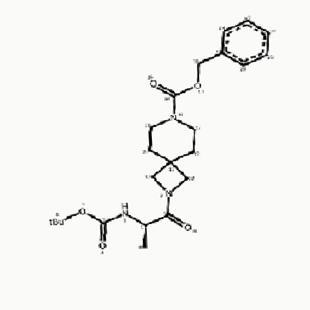 C[C@@H](NC(=O)OC(C)(C)C)C(=O)N1CC2(CCN(C(=O)OCc3ccccc3)CC2)C1